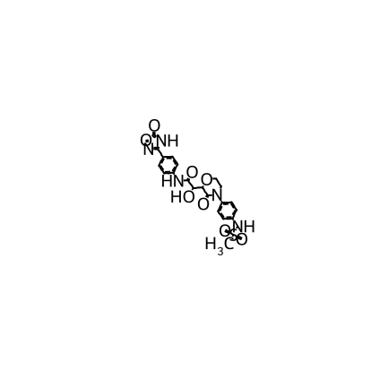 CS(=O)(=O)Nc1ccc(N2CCO[C@H]([C@@H](O)C(=O)Nc3ccc(-c4noc(=O)[nH]4)cc3)C2=O)cc1